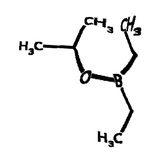 CCB(CC)OC(C)C